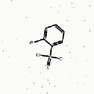 CC(C)c1ccccc1P(=S)(Cl)Cl